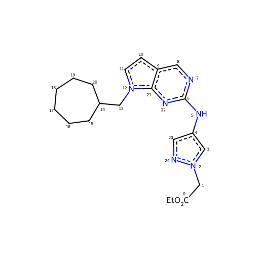 CCOC(=O)Cn1cc(Nc2ncc3ccn(CC4CCCCCC4)c3n2)cn1